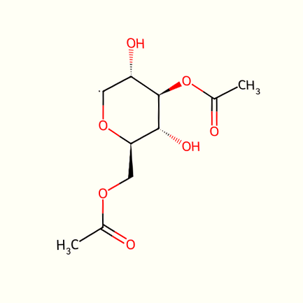 CC(=O)OC[C@H]1O[CH][C@H](O)[C@@H](OC(C)=O)[C@@H]1O